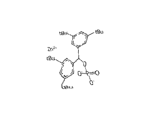 CC(C)(C)c1cc(C(OP(=O)([O-])[O-])c2cc(C(C)(C)C)cc(C(C)(C)C)c2)cc(C(C)(C)C)c1.[Zn+2]